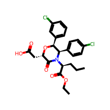 CCC[C@@H](C(=O)OCC)N1C(=O)[C@H](CC(=O)O)O[C@@H](c2cccc(Cl)c2)[C@H]1c1ccc(Cl)cc1